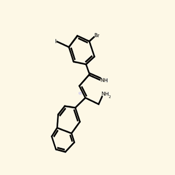 N=C(/C=C(\CN)c1ccc2ccccc2c1)c1cc(Br)cc(I)c1